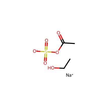 CC(=O)OS(=O)(=O)[O-].CCO.[Na+]